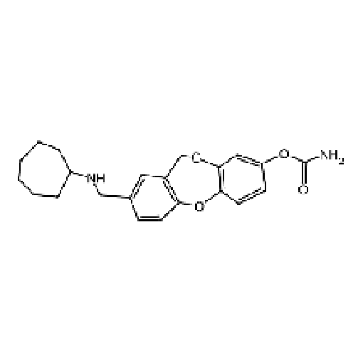 NC(=O)Oc1ccc2c(c1)CCc1cc(CNC3CCCCCC3)ccc1O2